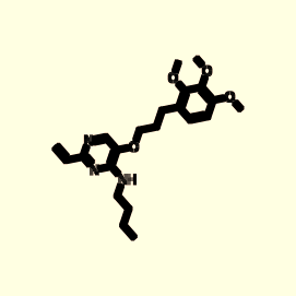 C=Cc1ncc(OCCCc2ccc(OC)c(OC)c2OC)c(NCCCC)n1